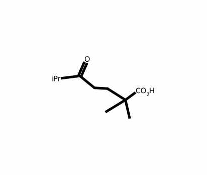 CC(C)C(=O)CCC(C)(C)C(=O)O